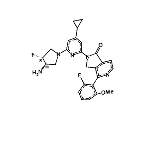 COc1cccc(F)c1-c1nccc2c1CN(c1cc(C3CC3)cc(N3C[C@@H](N)[C@H](F)C3)n1)C2=O